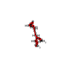 NS(=O)(=O)c1ccc(NC(=O)CN(CCN(CC(=O)NCCOCCOCCNC(=S)Nc2ccc(-c3c4ccc(=O)cc-4oc4cc(O)ccc34)c(C(=O)O)c2)CC(=O)Nc2ccc(S(N)(=O)=O)cc2)CC(=O)O)cc1